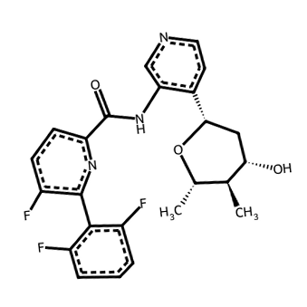 C[C@H]1[C@H](C)O[C@H](c2ccncc2NC(=O)c2ccc(F)c(-c3c(F)cccc3F)n2)C[C@@H]1O